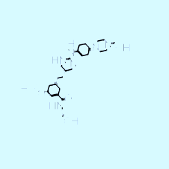 CCONC(=O)C1=C[C@@H](OC)C[C@@H](CC[C@H]2CN=C(NC3=CC[C@@H](N4CCN(CC)CC4)CC3)NC2)C1